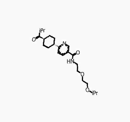 CC(C)OCCOCCNC(=O)c1ccc([C@H]2CC[C@H](C(=O)C(C)C)CC2)nc1